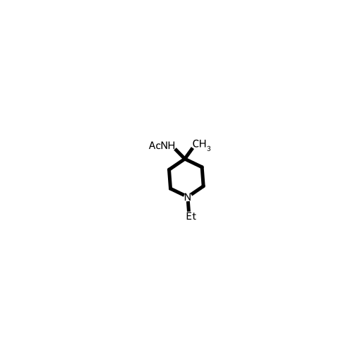 CCN1CCC(C)(NC(C)=O)CC1